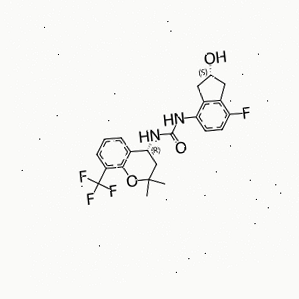 CC1(C)C[C@@H](NC(=O)Nc2ccc(F)c3c2C[C@H](O)C3)c2cccc(C(F)(F)F)c2O1